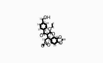 CCOC(=O)C(C(=O)c1ccc(CO)cc1)C(C[N+](=O)[O-])c1ccc2c(c1)OCO2